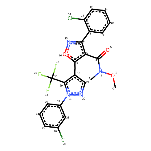 CON(C)C(=O)c1c(-c2ccccc2Cl)noc1-c1cnn(-c2cccc(Cl)c2)c1C(F)(F)F